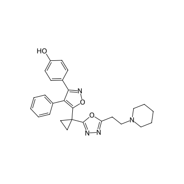 Oc1ccc(-c2noc(C3(c4nnc(CCN5CCCCC5)o4)CC3)c2-c2ccccc2)cc1